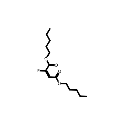 CCCCCOC(=O)/C=C(/F)C(=O)OCCCCC